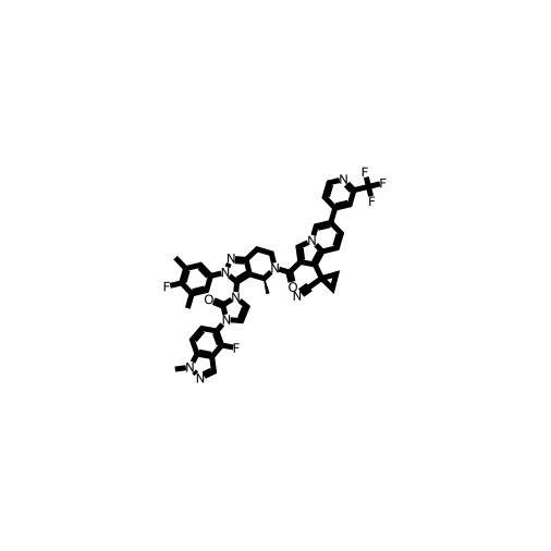 Cc1cc(-n2nc3c(c2-n2ccn(-c4ccc5c(cnn5C)c4F)c2=O)[C@H](C)N(C(=O)c2cn4cc(-c5ccnc(C(F)(F)F)c5)ccc4c2C2(C#N)CC2)CC3)cc(C)c1F